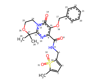 CC1=CC=C(CNC(=O)c2nc3n(c(=O)c2OCc2ccccc2)CCOC3(C)C)S1(=O)=O